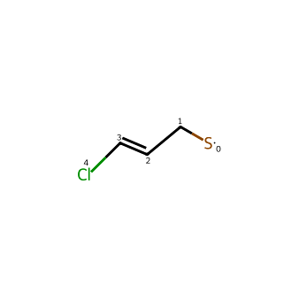 [S]CC=CCl